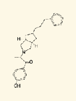 CC(C(=O)c1ccc(O)cc1)N1C[C@H]2CC(CCCc3ccccc3)C[C@H]2C1